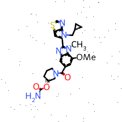 COc1cc(C(=O)N2CCC[C@@H](OC(N)=O)C2)cc2nc(-c3cc4scnc4n3CC3CC3)n(C)c12